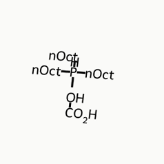 CCCCCCCC[PH](C)(CCCCCCCC)CCCCCCCC.O=C(O)O